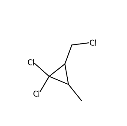 CC1C(CCl)C1(Cl)Cl